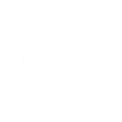 COC(=O)CN(C(=O)OC(C)(C)C)c1ccc(Oc2ccc3c(=O)c4cc(C)cc(OCCN(C)C)c4oc3c2)cn1